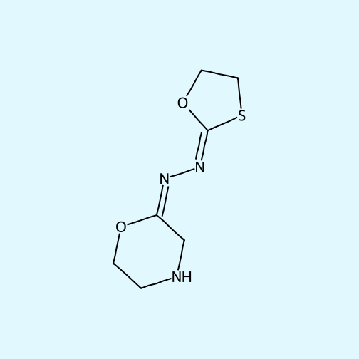 C1COC(=NN=C2OCCS2)CN1